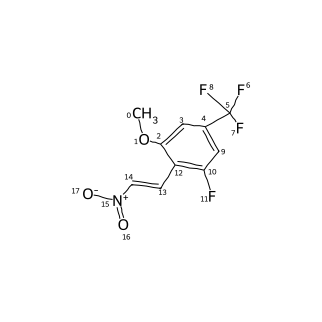 COc1cc(C(F)(F)F)cc(F)c1C=C[N+](=O)[O-]